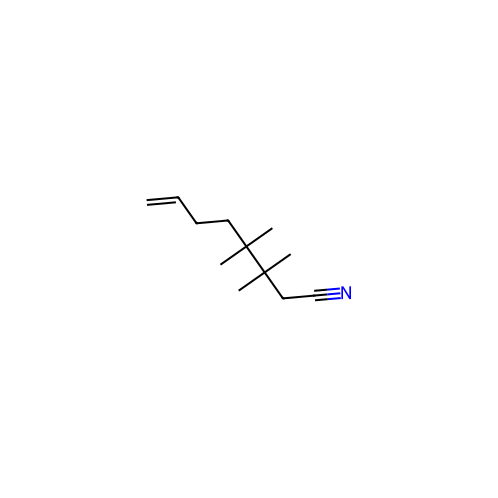 C=CCCC(C)(C)C(C)(C)CC#N